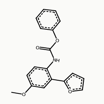 COc1ccc(NC(=O)Oc2ccccc2)c(-c2ccco2)c1